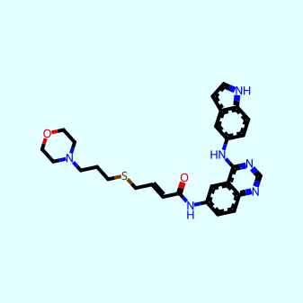 O=C(/C=C/CSCCCN1CCOCC1)Nc1ccc2ncnc(Nc3ccc4[nH]ccc4c3)c2c1